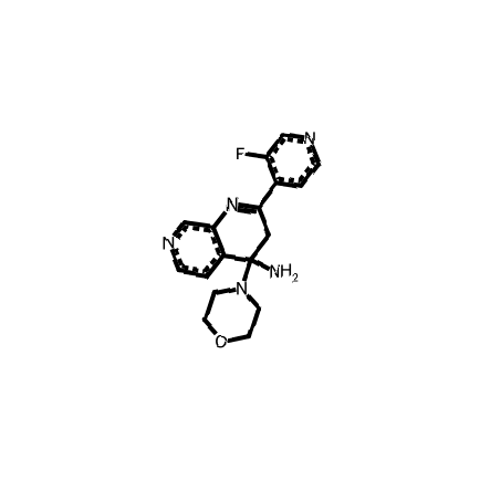 NC1(N2CCOCC2)CC(c2ccncc2F)=Nc2cnccc21